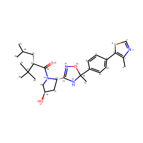 Cc1ncsc1-c1ccc(C2(C)NC([C@@H]3C[C@@H](O)CN3C(=O)[C@@H](CC(C)C)C(C)(C)C)=NO2)cc1